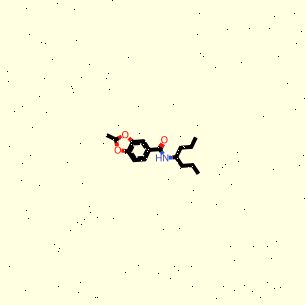 CCCC(CCC)NC(=O)c1ccc2c(c1)OC(C)O2